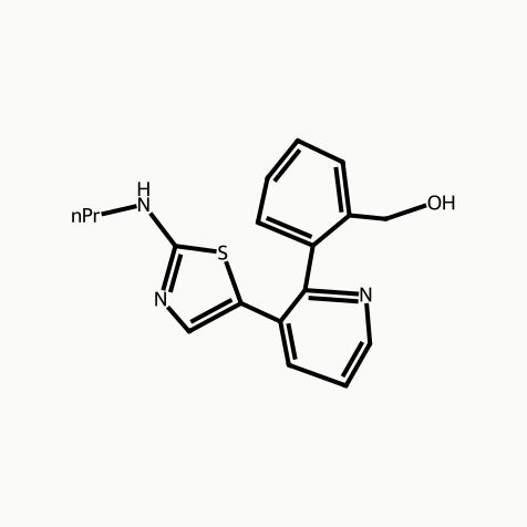 CCCNc1ncc(-c2cccnc2-c2ccccc2CO)s1